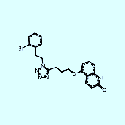 O=c1ccc2c(OCCCc3nnnn3CCc3ccccc3Br)cccc2[nH]1